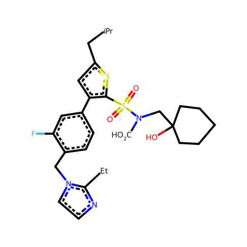 CCc1nccn1Cc1ccc(-c2cc(CC(C)C)sc2S(=O)(=O)N(CC2(O)CCCCC2)C(=O)O)cc1F